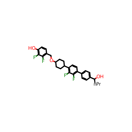 CCCC(O)c1ccc(-c2ccc(C3CCC(OCc4ccc(O)c(F)c4F)CC3)c(F)c2F)cc1